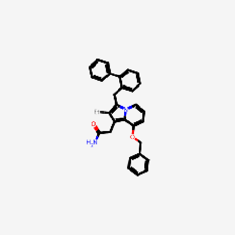 CCc1c(CC(N)=O)c2c(OCc3ccccc3)cccn2c1Cc1ccccc1-c1ccccc1